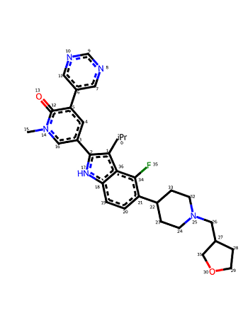 CC(C)c1c(-c2cc(-c3cncnc3)c(=O)n(C)c2)[nH]c2ccc(C3CCN(CC4CCOC4)CC3)c(F)c12